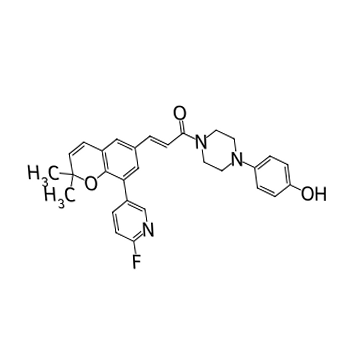 CC1(C)C=Cc2cc(/C=C/C(=O)N3CCN(c4ccc(O)cc4)CC3)cc(-c3ccc(F)nc3)c2O1